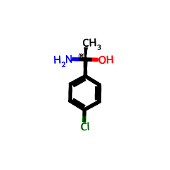 C[C@@](N)(O)c1ccc(Cl)cc1